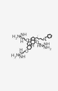 C[C@H](CCCN(C)Cc1ccccc1)C1CC[C@H]2C3[C@H](OCCNC(=N)N)CC4CC(OCCNC(=N)N)CCC4(C)[C@H]3C[C@H](OCCNC(=N)N)C12C